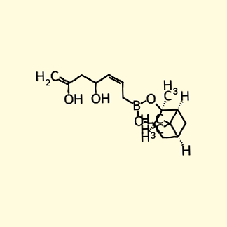 C=C(O)CC(O)/C=C\CB1O[C@@H]2C[C@@H]3C[C@@H](C3(C)C)[C@]2(C)O1